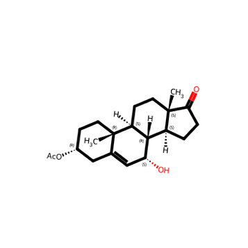 CC(=O)O[C@@H]1CC[C@@]2(C)C(=C[C@@H](O)[C@@H]3[C@@H]2CC[C@]2(C)C(=O)CC[C@@H]32)C1